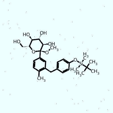 CO[C@@]1(c2ccc(C)c(Cc3ccc(O[Si](C)(C)C(C)(C)C)cc3)c2)O[C@H](CO)[C@@H](O)[C@H](O)[C@H]1O